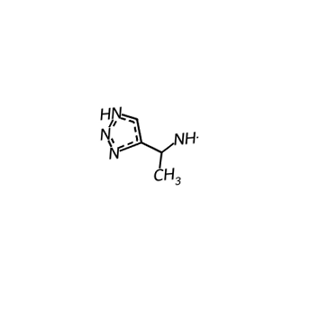 CC([NH])c1c[nH]nn1